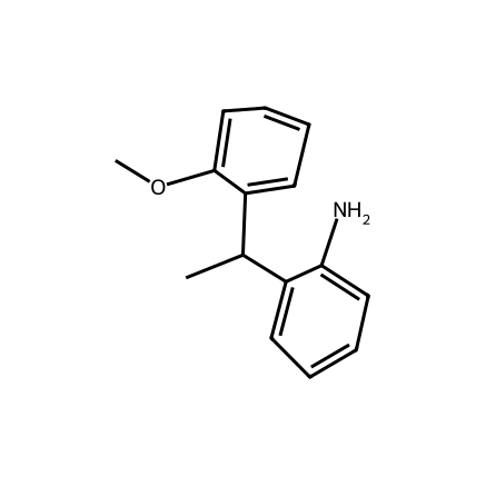 COc1ccccc1C(C)c1ccccc1N